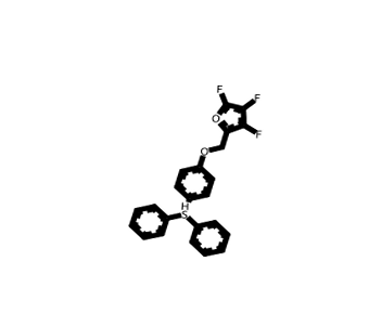 Fc1oc(COc2ccc([SH](c3ccccc3)c3ccccc3)cc2)c(F)c1F